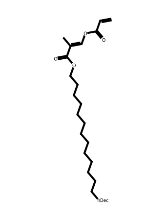 C=CC(=O)OC=C(C)C(=O)OCCCCCCCCCCCCCCCCCCCCCCC